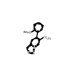 CCOC(=O)c1cn2nncc2cc1-c1ccccc1OC